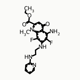 CCOC(=O)c1cc(=O)c2c(N)c(F)c(NCCNc3ccccn3)c(F)c2n1C